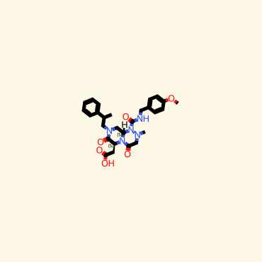 COc1ccc(CNC(=O)N2[C@H]3CN(CC(C)c4ccccc4)C(=O)[C@H](CC(=O)O)N3C(=O)CN2C)cc1